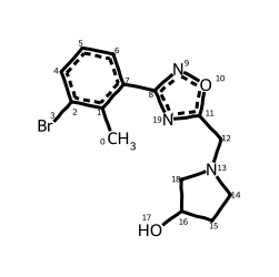 Cc1c(Br)cccc1-c1noc(CN2CCC(O)C2)n1